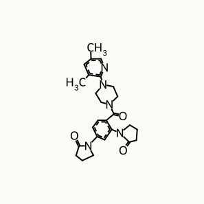 Cc1cnc(N2CCN(C(=O)c3ccc(N4CCCC4=O)cc3N3CCCC3=O)CC2)c(C)c1